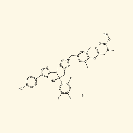 Cc1cc(C[n+]2cnn(C[C@](O)(c3cc(F)c(F)cc3F)[C@@H](C)c3nc(-c4ccc(C#N)cc4)cs3)c2)cc(C)c1OC(=O)CN(C)C(=O)OC(C)(C)C.[Br-]